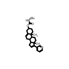 CC(C)(C)NC(=O)OC1CCC2(C)C(=CCC3C2CCC2(C)C(c4cccnc4)=CCC32)C1